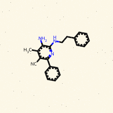 Cc1c(N)c(NCCc2ccccc2)nc(-c2ccccc2)c1C#N